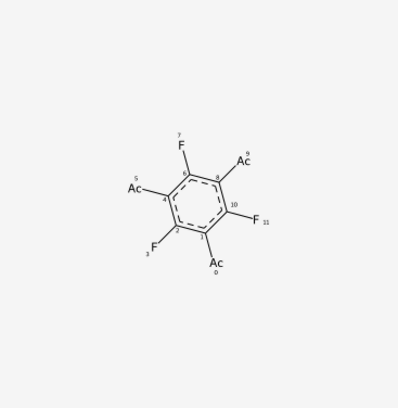 CC(=O)c1c(F)c(C(C)=O)c(F)c(C(C)=O)c1F